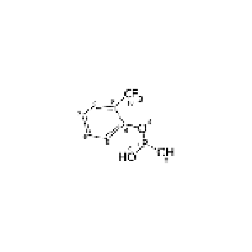 OP(O)Oc1ccccc1C(F)(F)F